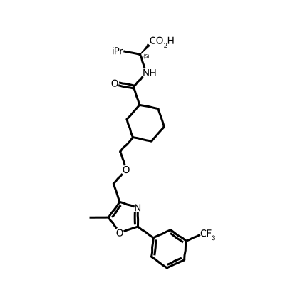 Cc1oc(-c2cccc(C(F)(F)F)c2)nc1COCC1CCCC(C(=O)N[C@H](C(=O)O)C(C)C)C1